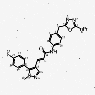 CCCc1nnc(Cc2ccc(NC(=O)C=Cc3cnn(C)c3-c3ccc(F)cc3)cc2)o1